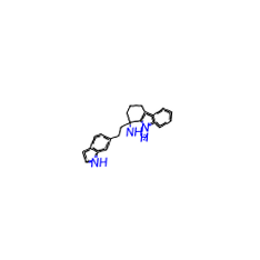 NC1(CCc2ccc3cc[nH]c3c2)CCCc2c1[nH]c1ccccc21